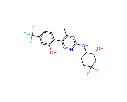 Cc1nc(N[C@@H]2CCC(F)(F)C[C@H]2O)nnc1-c1ccc(C(F)(F)F)cc1O